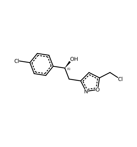 O[C@@H](Cc1cc(CCl)on1)c1ccc(Cl)cc1